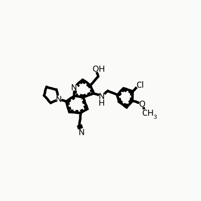 COc1ccc(CNc2c(CO)cnc3c(N4CCCC4)cc(C#N)cc23)cc1Cl